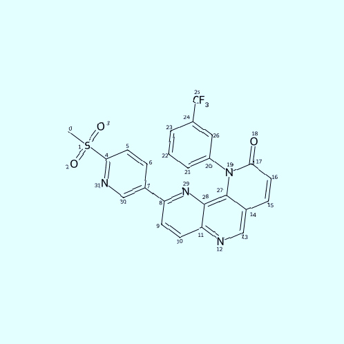 CS(=O)(=O)c1ccc(-c2ccc3ncc4ccc(=O)n(-c5cccc(C(F)(F)F)c5)c4c3n2)cn1